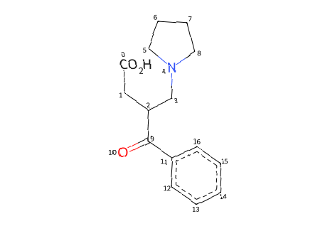 O=C(O)CC(CN1CCCC1)C(=O)c1ccccc1